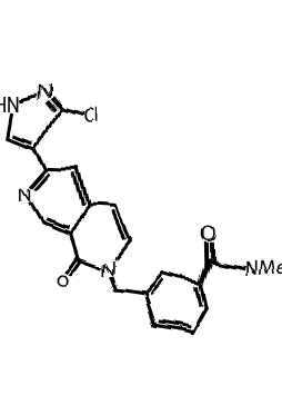 CNC(=O)c1cccc(Cn2ccc3cc(-c4c[nH]nc4Cl)ncc3c2=O)c1